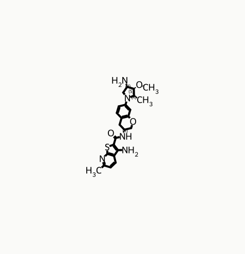 CO[C@H]1[C@H](N)CN(c2ccc3c(c2)OC[C@H](NC(=O)c2sc4nc(C)ccc4c2N)C3)[C@@H]1C